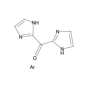 O=C(c1ncc[nH]1)c1ncc[nH]1.[Ar]